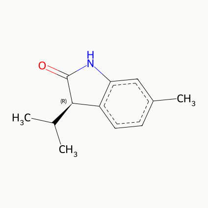 Cc1ccc2c(c1)NC(=O)[C@@H]2C(C)C